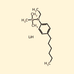 CCCCC[CH]c1ccc(N(CC)[Si](C)(C)C)cc1.[LiH]